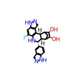 OC1C2CC([C@@H]1O)[C@H]1[C@H](c3ccc4[nH]ncc4c3)Nc3c(F)cc4[nH]ncc4c3[C@@H]21